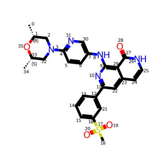 C[C@@H]1CN(c2ccc(Nc3nc(-c4cccc(S(C)(=O)=O)c4)cc4cc[nH]c(=O)c34)cn2)C[C@H](C)O1